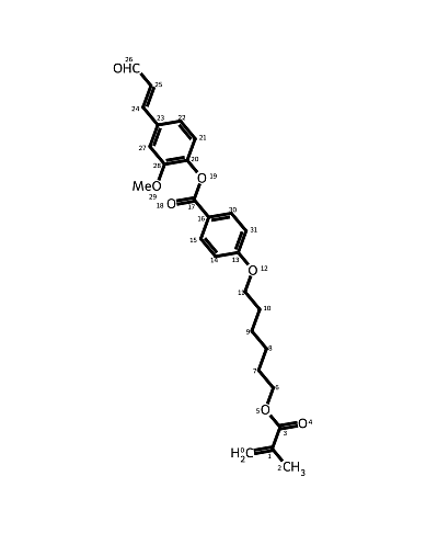 C=C(C)C(=O)OCCCCCCOc1ccc(C(=O)Oc2ccc(/C=C/C=O)cc2OC)cc1